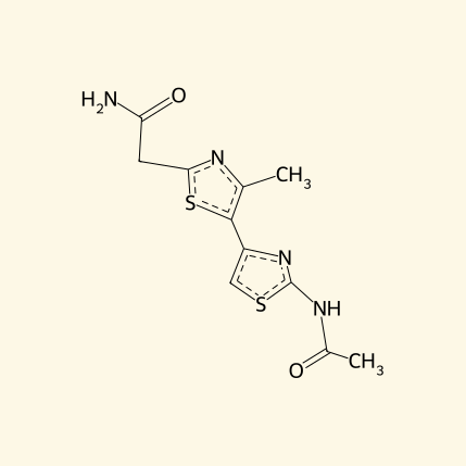 CC(=O)Nc1nc(-c2sc(CC(N)=O)nc2C)cs1